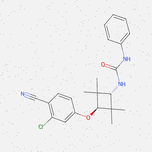 CC1(C)[C@H](NC(=O)Nc2ccccc2)C(C)(C)[C@H]1Oc1ccc(C#N)c(Cl)c1